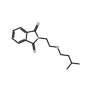 CC(C)CCOCCN1C(=O)c2ccccc2C1=O